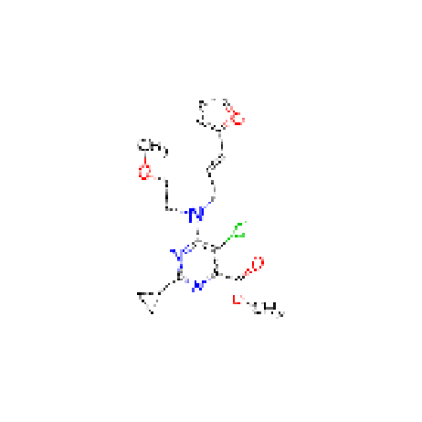 COCCN(C/C=C/c1ccco1)c1nc(C2CC2)nc(C(=O)OC)c1Cl